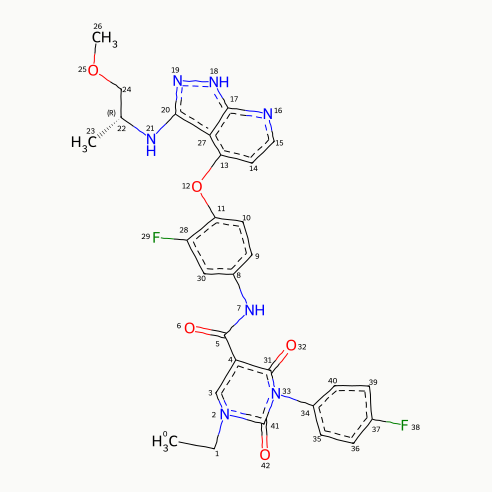 CCn1cc(C(=O)Nc2ccc(Oc3ccnc4[nH]nc(N[C@H](C)COC)c34)c(F)c2)c(=O)n(-c2ccc(F)cc2)c1=O